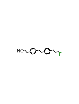 N#CCCc1ccc(CCc2ccc(CCCF)cc2)cc1